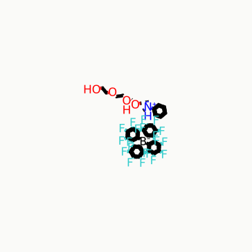 COC.C[NH+](C)c1ccccc1.Fc1c(F)c(F)c([B-](c2c(F)c(F)c(F)c(F)c2F)(c2c(F)c(F)c(F)c(F)c2F)c2c(F)c(F)c(F)c(F)c2F)c(F)c1F.OCCOCCO